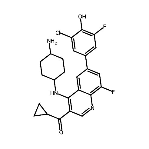 NC1CCC(Nc2c(C(=O)C3CC3)cnc3c(F)cc(-c4cc(F)c(O)c(Cl)c4)cc23)CC1